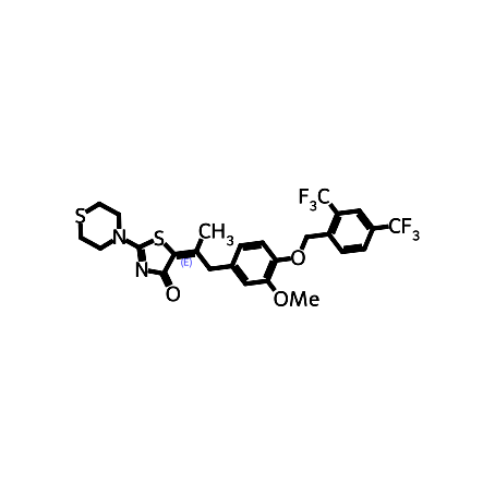 COc1cc(C/C(C)=C2/SC(N3CCSCC3)=NC2=O)ccc1OCc1ccc(C(F)(F)F)cc1C(F)(F)F